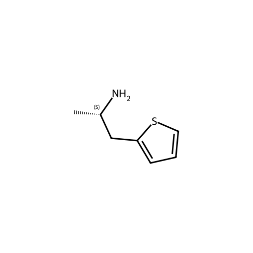 C[C@H](N)Cc1cccs1